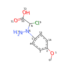 COc1ccc(N(N)C(Cl)C(=O)O)cc1